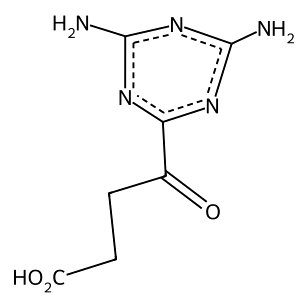 Nc1nc(N)nc(C(=O)CCC(=O)O)n1